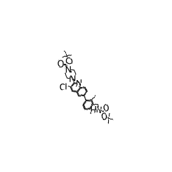 Cc1c(CNC(=O)OC(C)(C)C)cccc1-c1ccc2nc(N3CCN(C(=O)OC(C)(C)C)CC3)c(Cl)cc2c1